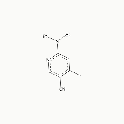 CCN(CC)c1cc(C)c(C#N)cn1